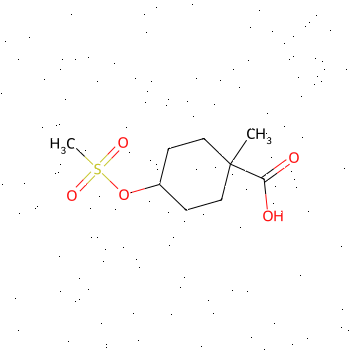 CC1(C(=O)O)CCC(OS(C)(=O)=O)CC1